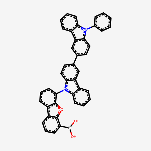 OB(O)c1cccc2c1oc1c(-n3c4ccccc4c4cc(-c5ccc6c(c5)c5ccccc5n6-c5ccccc5)ccc43)cccc12